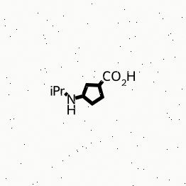 CC(C)NC1CCC(C(=O)O)C1